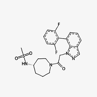 CS(=O)(=O)N[C@H]1CCCN(C(=O)Cn2ncc3cccc(-c4c(F)cccc4F)c32)CC1